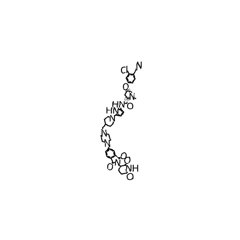 CN1C[C@H](Oc2ccc(C#N)c(Cl)c2)C[C@H]1C(=O)Nc1ccc(N2CCC(CN3CCN(c4ccc5c(c4)C(=O)N(C4CCC(=O)NC4=O)C5=O)CC3)CC2)[nH]1